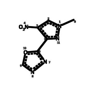 Cn1cc([N+](=O)[O-])c(-c2nnco2)n1